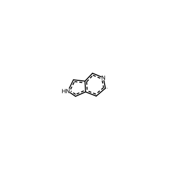 [c]1cc2c[nH]cc2cn1